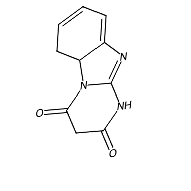 O=C1CC(=O)N2C(=NC3=CC=CCC32)N1